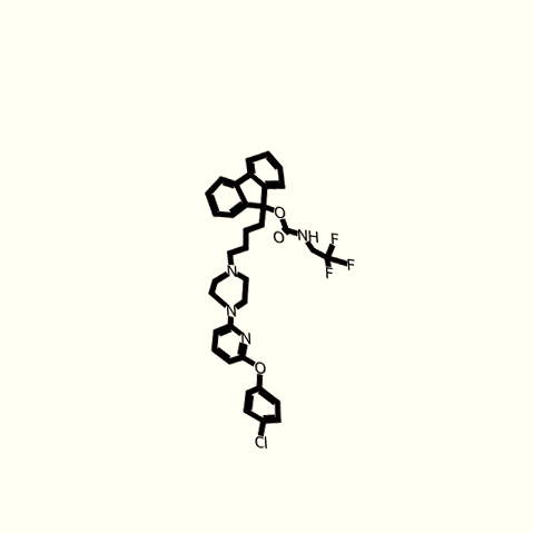 O=C(NCC(F)(F)F)OC1(CCCCN2CCN(c3cccc(Oc4ccc(Cl)cc4)n3)CC2)c2ccccc2-c2ccccc21